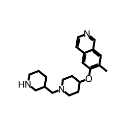 Cc1cc2cnccc2cc1OC1CCN(CC2CCCNC2)CC1